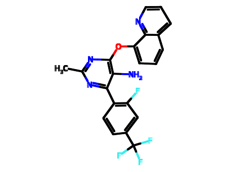 Cc1nc(Oc2cccc3cccnc23)c(N)c(-c2ccc(C(F)(F)F)cc2F)n1